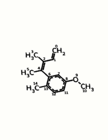 C=C/C(C)=C(/C)c1cc(OC)ccc1C